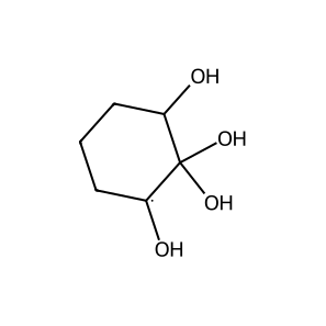 O[C]1CCCC(O)C1(O)O